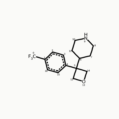 FC(F)(F)c1ccc(C2(C3CCNCC3)COC2)cc1